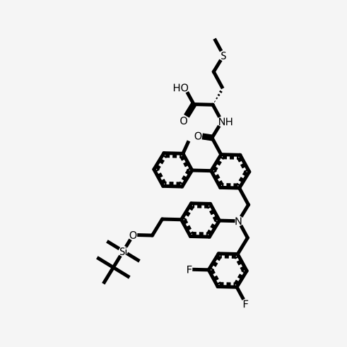 CSCC[C@H](NC(=O)c1ccc(CN(Cc2cc(F)cc(F)c2)c2ccc(CCO[Si](C)(C)C(C)(C)C)cc2)cc1-c1ccccc1C)C(=O)O